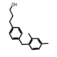 Cc1c[c]c(Cc2ccc(CCCO)cc2)c(C)c1